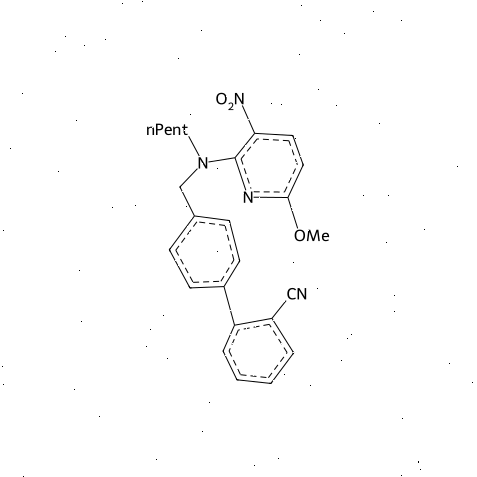 CCCCCN(Cc1ccc(-c2ccccc2C#N)cc1)c1nc(OC)ccc1[N+](=O)[O-]